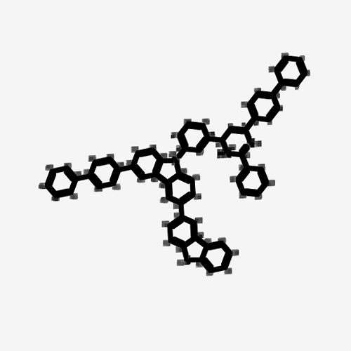 C1=C(c2ccc(-c3ccccc3)cc2)N=C(c2ccccc2)NC1c1cccc(-n2c3ccc(-c4ccc(-c5ccccc5)cc4)cc3c3cc(-c4ccc5sc6ccccc6c5c4)ccc32)c1